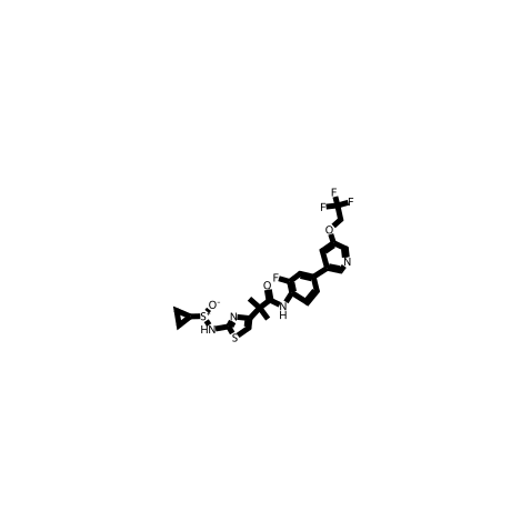 CC(C)(C(=O)Nc1ccc(-c2cncc(OCC(F)(F)F)c2)cc1F)c1csc(N[S+]([O-])C2CC2)n1